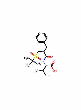 CC(C)[C@H](NC(=O)C(Cc1ccccc1)CS(=O)(=O)C(C)(C)C)C(=O)O